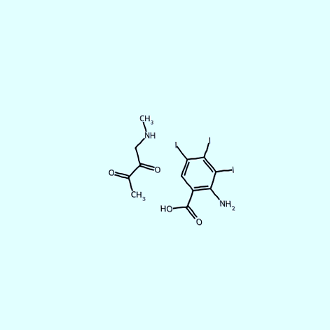 CNCC(=O)C(C)=O.Nc1c(C(=O)O)cc(I)c(I)c1I